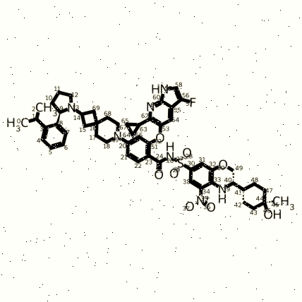 CC(C)c1ccccc1[C@H]1CCCN1C1CC2(CCN(c3ccc(C(=O)NS(=O)(=O)c4cc5c(c([N+](=O)[O-])c4)N[C@@H]([C@H]4CC[C@](C)(O)CC4)CO5)c(Oc4cc5c(F)c[nH]c5nc4C4CC4)c3)CC2)C1